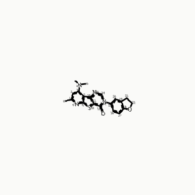 Cc1cc(N(C)C)c2c(n1)sc1c(=O)n(-c3ccc4c(c3)CCO4)cnc12